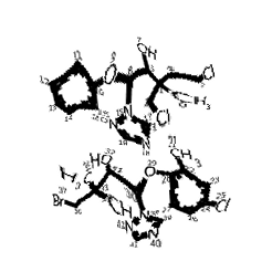 CC(CCl)(CCl)C(O)C(Oc1ccccc1)n1cncn1.Cc1cc(Cl)ccc1OC(C(O)C(C)(C)CBr)n1cncn1